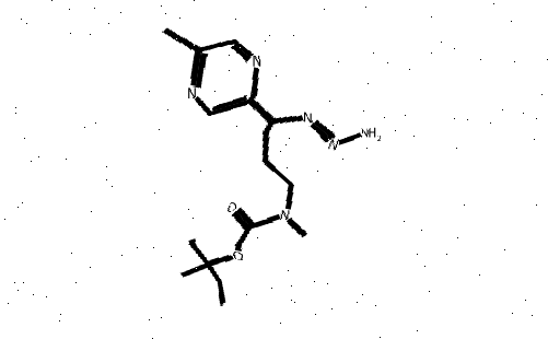 Cc1cnc(C(CCN(C)C(=O)OC(C)(C)C)N=NN)cn1